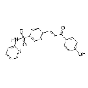 O=C(C=Cc1ccc(S(=O)(=O)Nc2ccccn2)cc1)c1ccc(O)cc1